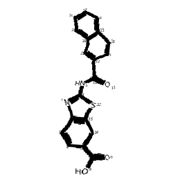 O=C(O)c1ccc2nc(NC(=O)c3ccc4ccccc4c3)sc2c1